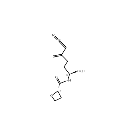 [N-]=[N+]=CC(=O)CC[C@H](NC(=O)[C@@H]1CCO1)C(=O)O